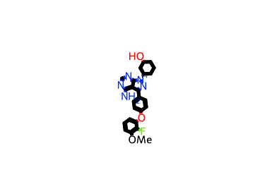 COc1cccc(Oc2ccc(-c3nn([C@@H]4CCCC(O)C4)c4ncnc(N)c34)cc2)c1F